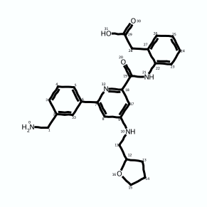 NCc1cccc(-c2cc(NCC3CCCO3)cc(C(=O)Nc3ccccc3CC(=O)O)n2)c1